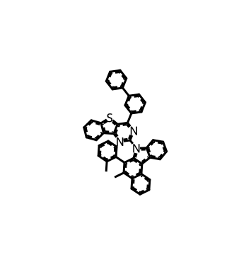 Cc1ccccc1-c1c(C)c2ccccc2c2c3ccccc3n(-c3nc(-c4cccc(-c5ccccc5)c4)c4sc5ccccc5c4n3)c12